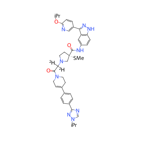 [2H]C([2H])(C(=O)N1CC=C(c2ccc(-c3ncn(C(C)C)n3)cc2)CC1)N1CC[C@@](SC)(C(=O)Nc2ccc3[nH]nc(-c4ccc(OC(C)C)nc4)c3c2)C1